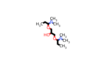 CCC(OCC(O)COC(CC)N(C)C)N(C)C